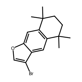 CC1(C)CCC(C)(C)c2cc3c(Br)coc3cc21